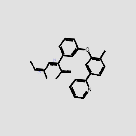 C=C(C)/C(=C\C(C)=C/C)c1cccc(Oc2cc(-c3ccccn3)ccc2C)c1